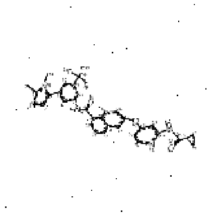 Cc1ncc(-c2cc(NC(=O)c3cccc4cc(Oc5ccnc(NC(=O)C6CC6)c5)ccc34)cc(C(F)(F)F)c2)n1C